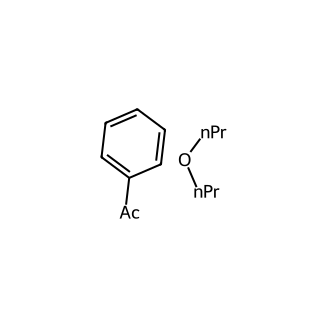 CC(=O)c1ccccc1.CCCOCCC